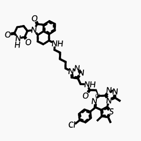 Cc1sc2c(c1C)C(c1ccc(Cl)cc1)=N[C@@H](CC(=O)NCc1cn(CCCCCNC3CCC4c5c(cccc53)C(=O)N4C3CCC(=O)NC3=O)nn1)c1nnc(C)n1-2